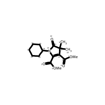 COC(=O)C1=C(C(=O)OC)C(C)(C)C(=O)N1C1CCCCC1